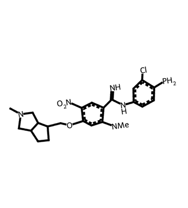 CNc1cc(OCC2CCC3CN(C)CC23)c([N+](=O)[O-])cc1C(=N)Nc1ccc(P)c(Cl)c1